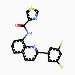 O=C(Nc1cccc2ccc(-c3cc(F)cc(F)c3)nc12)c1cscn1